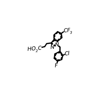 O=C(O)CCc1nn(Cc2ccc(F)cc2Cl)c2cc(C(F)(F)F)ccc12